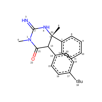 CN1C(=N)N[C@](C)(c2ccccc2)C(c2ccc(C(C)(C)C)cc2)C1=O